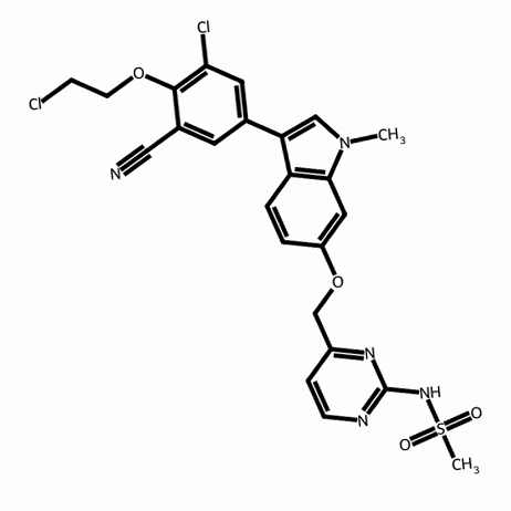 Cn1cc(-c2cc(Cl)c(OCCCl)c(C#N)c2)c2ccc(OCc3ccnc(NS(C)(=O)=O)n3)cc21